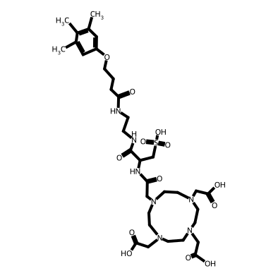 Cc1cc(OCCCC(=O)NCCNC(=O)C(CS(=O)(=O)O)NC(=O)CN2CCN(CC(=O)O)CCN(CC(=O)O)CCN(CC(=O)O)CC2)cc(C)c1C